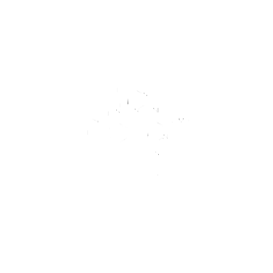 COc1nc(N2CCC(F)(F)CC2)ccc1Nc1ncc(Cl)c(Nc2ccccc2P(C)(C)=O)n1